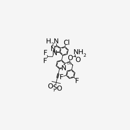 CC(C)(C#Cc1ccc(-c2ccc(Cl)c3c(N)nn(CC(F)F)c23)c([C@H](Cc2cc(F)cc(F)c2)OC(N)=O)n1)S(C)(=O)=O